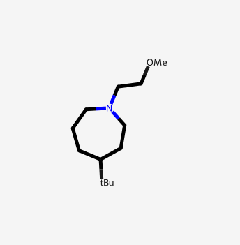 COCCN1CCCC(C(C)(C)C)CC1